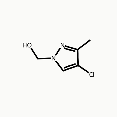 Cc1nn(CO)cc1Cl